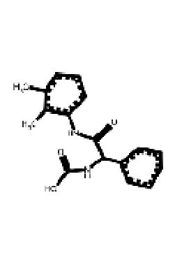 Cc1cccc(NC(=O)C(NC(=O)O)c2ccccc2)c1C